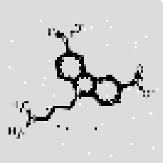 CN(C)CCCn1c2ccc([N+](=O)[O-])cc2c2cc([N+](=O)[O-])ccc21